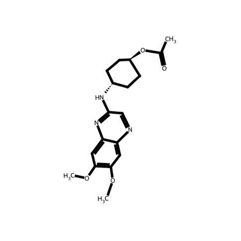 COc1cc2ncc(N[C@H]3CC[C@H](OC(C)=O)CC3)nc2cc1OC